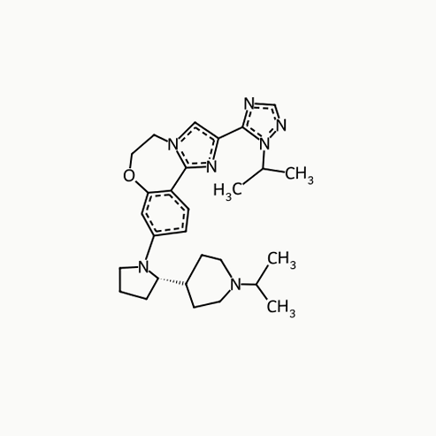 CC(C)N1CCC([C@@H]2CCCN2c2ccc3c(c2)OCCn2cc(-c4ncnn4C(C)C)nc2-3)CC1